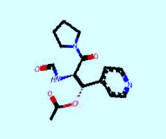 CC(=O)O[C@@H](c1ccncc1)[C@@H](NC=O)C(=O)N1CCCC1